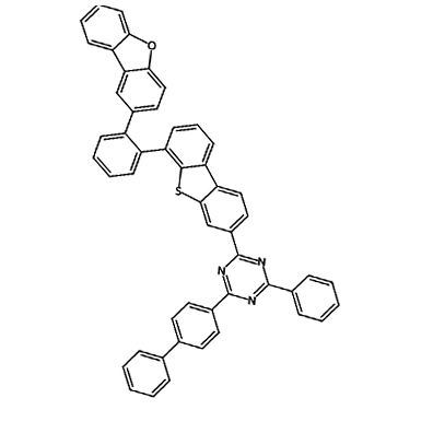 c1ccc(-c2ccc(-c3nc(-c4ccccc4)nc(-c4ccc5c(c4)sc4c(-c6ccccc6-c6ccc7oc8ccccc8c7c6)cccc45)n3)cc2)cc1